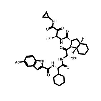 CCC[C@H](NC(=O)[C@@H]1C[C@@H]2CCCC[C@@H]2N1C(=O)[C@@H](NC(=O)[C@@H](NC(=O)c1cc2cc(C(C)=O)ccc2[nH]1)C1CCCCC1)C(C)(C)C)C(=O)C(=O)NC1CC1